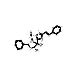 CC(C)[C@H](OCc1ccccc1)C(O)(N=C=O)c1noc(C=Cc2ccccc2)n1